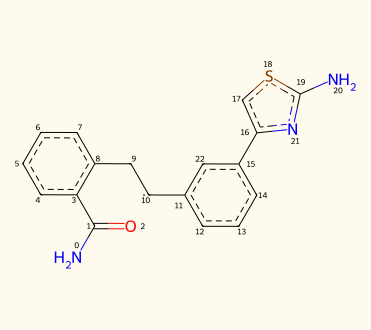 NC(=O)c1ccccc1C[CH]c1cccc(-c2csc(N)n2)c1